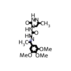 COc1cc(/C(C)=N/NC(=O)NN2CC(C)=NNC2=O)cc(OC)c1OC